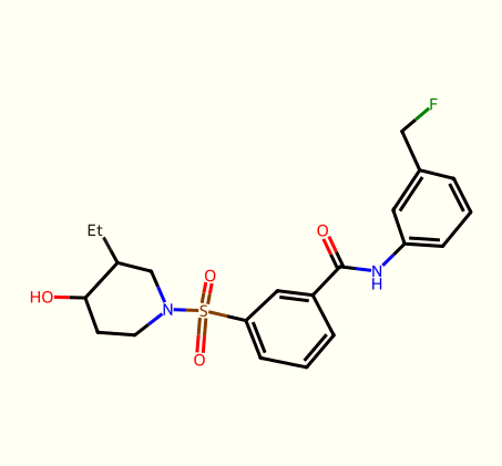 CCC1CN(S(=O)(=O)c2cccc(C(=O)Nc3cccc(CF)c3)c2)CCC1O